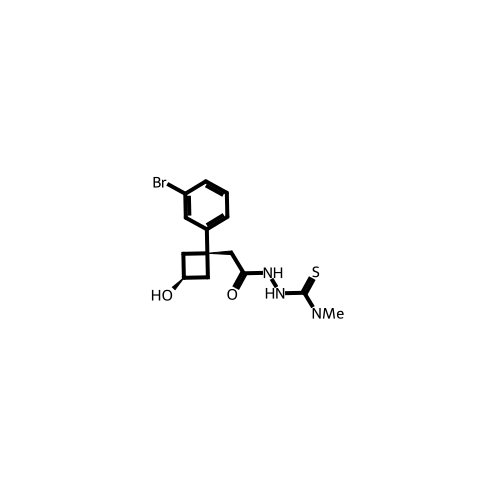 CNC(=S)NNC(=O)C[C@]1(c2cccc(Br)c2)C[C@H](O)C1